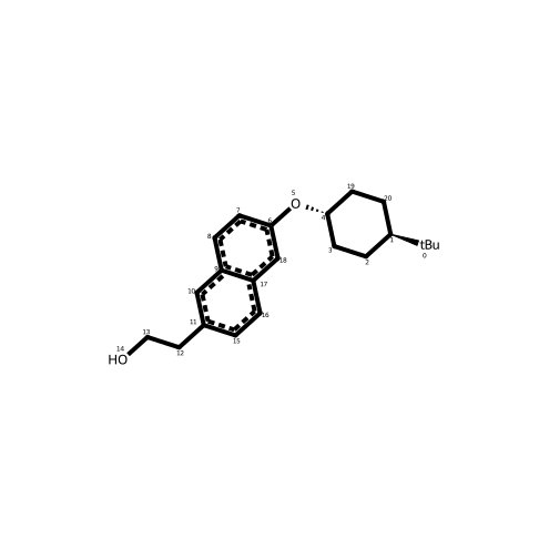 CC(C)(C)[C@H]1CC[C@H](Oc2ccc3cc(CCO)ccc3c2)CC1